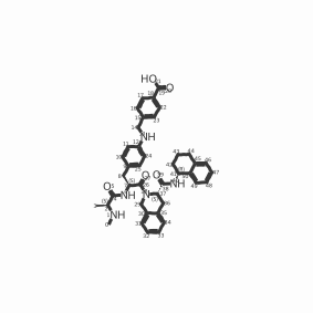 CN[C@@H](C)C(=O)N[C@@H](Cc1ccc(NCc2ccc(C(=O)O)cc2)cc1)C(=O)N1Cc2ccccc2C[C@H]1C(=O)N[C@@H]1CCCc2ccccc21